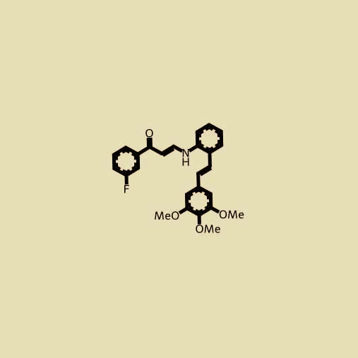 COc1cc(C=Cc2ccccc2NC=CC(=O)c2cccc(F)c2)cc(OC)c1OC